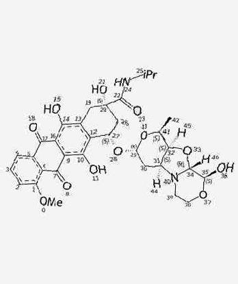 COc1cccc2c1C(=O)c1c(O)c3c(c(O)c1C2=O)C[C@@](O)(C(=O)NC(C)C)C[C@@H]3O[C@H]1C[C@H]2[C@H](O[C@@H]3[C@@H](O)OCCN32)[C@H](C)O1